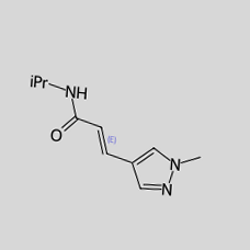 CC(C)NC(=O)/C=C/c1cnn(C)c1